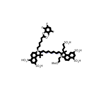 COCC[N+]1=C(/C=C/C=C/C=C/C=C2/N(CCCCCC(=O)Oc3c(F)c(F)cc(F)c3F)c3ccc4c(S(=O)(=O)O)cc(S(=O)(=O)O)cc4c3C2(C)C)C(C)(CCCS(=O)(=O)O)c2c1ccc1c(S(=O)(=O)O)cc(S(=O)(=O)O)cc21